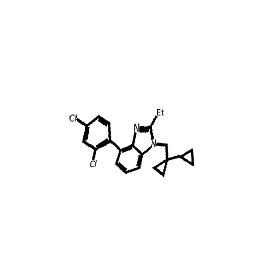 CCc1nc2c(-c3ccc(Cl)cc3Cl)cccc2n1CC1(C2CC2)CC1